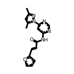 Cc1cc(C)n(-c2cc(NC(=O)/C=C/c3ccco3)ncn2)n1